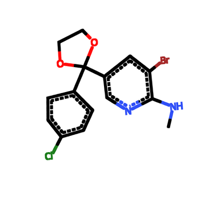 CNc1ncc(C2(c3ccc(Cl)cc3)OCCO2)cc1Br